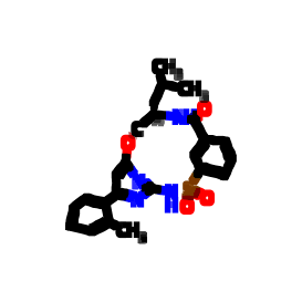 Cc1ccccc1-c1cc2nc(n1)NS(=O)(=O)c1cccc(c1)C(=O)N[C@H](CC(C)C)CO2